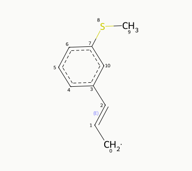 [CH2]/C=C/c1cccc(SC)c1